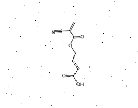 C=C(C#N)C(=O)OCC=CC(=O)O